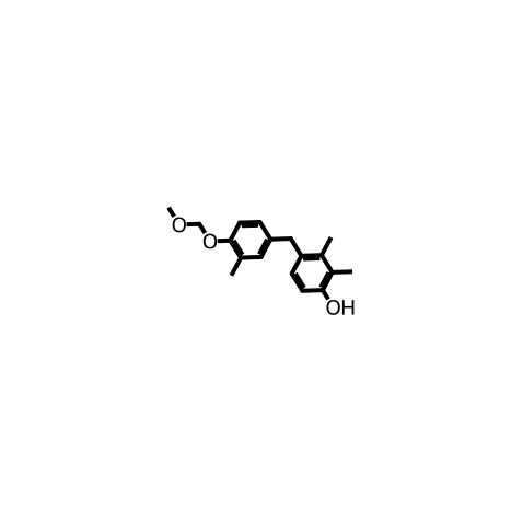 COCOc1ccc(Cc2ccc(O)c(C)c2C)cc1C